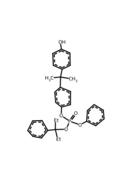 CCC(CC)(OP(=O)(Oc1ccccc1)Oc1ccc(C(C)(C)c2ccc(O)cc2)cc1)c1ccccc1